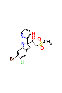 CS(=O)(=O)CC(O)C1(c2ccccn2)C=c2cc(Cl)c(Br)cc2=N1